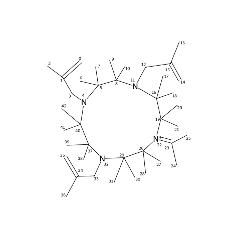 C=C(C)CN1C(C)(C)C(C)(C)N(CC(=C)C)C(C)(C)C(C)(C)[N+](=C(C)C)C(C)(C)C(C)(C)N(CC(=C)C)C(C)(C)C1(C)C